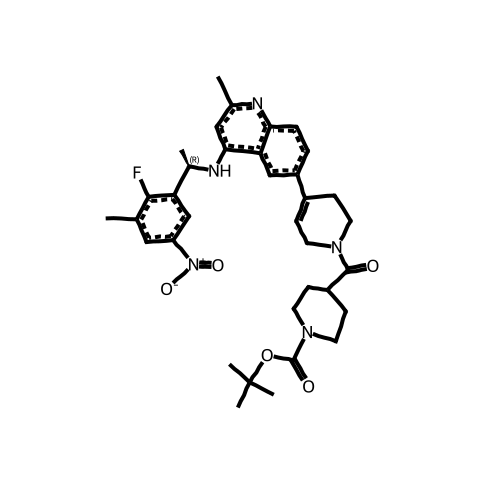 Cc1cc(N[C@H](C)c2cc([N+](=O)[O-])cc(C)c2F)c2cc(C3=CCN(C(=O)C4CCN(C(=O)OC(C)(C)C)CC4)CC3)ccc2n1